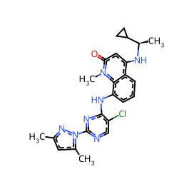 Cc1cc(C)n(-c2ncc(Cl)c(Nc3cccc4c(N[C@H](C)C5CC5)cc(=O)n(C)c34)n2)n1